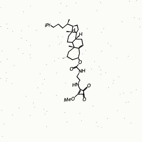 COc1c(NCCNC(=O)O[C@@H]2CC3=CC[C@@H]4C(CC[C@]5(C)[C@@H]([C@H](C)CCCC(C)C)CC[C@@H]45)[C@@]3(C)C[C@@H](C)C2)c(=O)c1=O